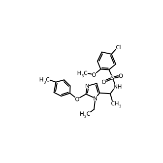 CCn1c(C(C)NS(=O)(=O)c2cc(Cl)ccc2OC)cnc1Oc1ccc(C)cc1